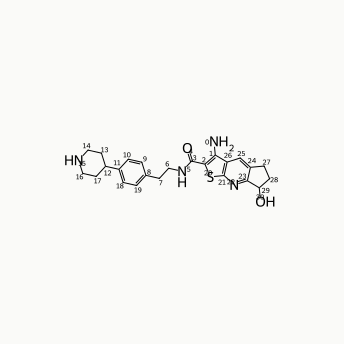 Nc1c(C(=O)NCCc2ccc(C3CCNCC3)cc2)sc2nc3c(cc12)CCC3O